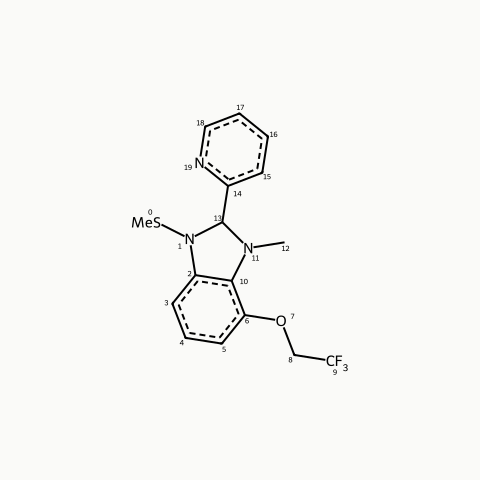 CSN1c2cccc(OCC(F)(F)F)c2N(C)C1c1ccccn1